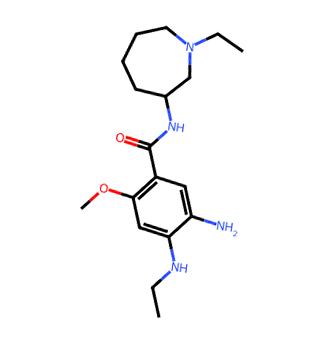 CCNc1cc(OC)c(C(=O)NC2CCCCN(CC)C2)cc1N